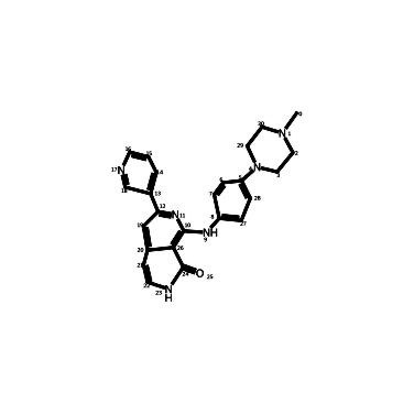 CN1CCN(c2ccc(Nc3nc(-c4cccnc4)cc4cc[nH]c(=O)c34)cc2)CC1